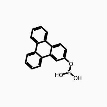 OB(O)Oc1ccc2c3ccccc3c3ccccc3c2c1